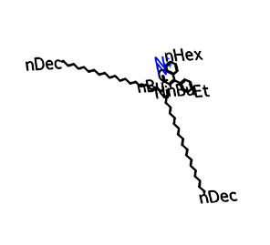 CCCCCCCCCCCCCCCCCCCCCCCCCCCC[CH2][Ni][CH2]CCCCCCCCCCCCCCCCCCCCCCCCCCCC.CCCCCCc1ccc(C(=C(CCCC)C(=C=[N+]=[N-])CCCC)c2ccc(CC)cc2)cc1